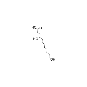 O=C(O)CCC(O)CCCCCCCCO